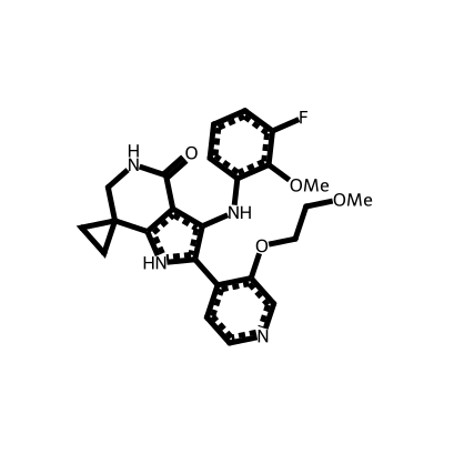 COCCOc1cnccc1-c1[nH]c2c(c1Nc1cccc(F)c1OC)C(=O)NCC21CC1